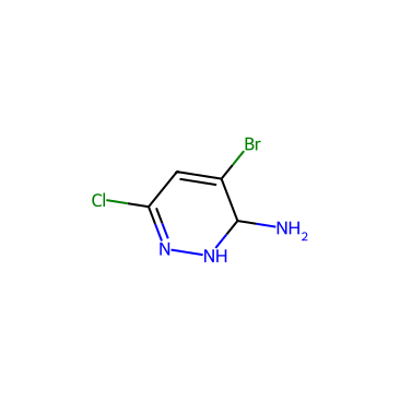 NC1NN=C(Cl)C=C1Br